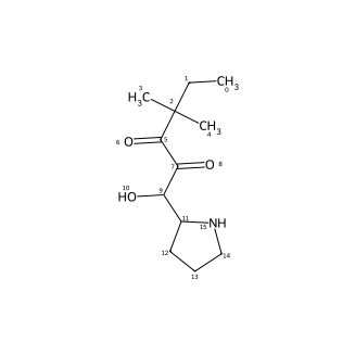 CCC(C)(C)C(=O)C(=O)C(O)C1CCCN1